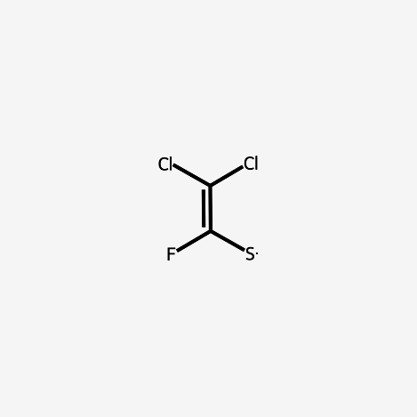 FC([S])=C(Cl)Cl